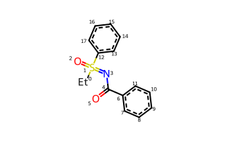 CCS(=O)(=NC(=O)c1ccccc1)c1ccccc1